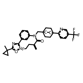 C=C(CCF)C(=O)N(CC12CCC(c3ccc(C(F)(F)F)cn3)(CC1)CC2)c1cccc(-c2noc(C3(C)CC3)n2)c1